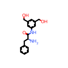 N[C@@H](Cc1ccccc1)C(=O)Nc1cc(CO)cc(CO)c1